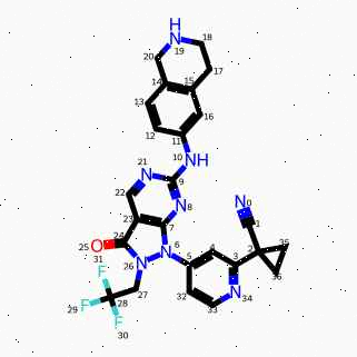 N#CC1(c2cc(-n3c4nc(Nc5ccc6c(c5)CCNC6)ncc4c(=O)n3CC(F)(F)F)ccn2)CC1